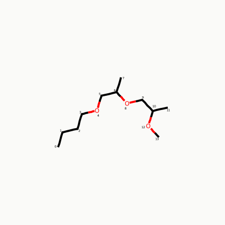 CCCCOCC(C)OCC(C)OC